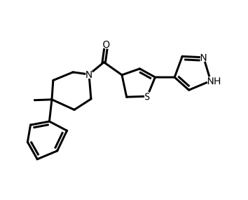 CC1(c2ccccc2)CCN(C(=O)C2C=C(c3cn[nH]c3)SC2)CC1